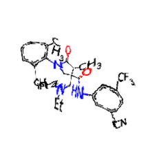 CCN(CC1(C(=O)Nc2cc(C#N)cc(C(F)(F)F)c2)CN(c2c(C)cccc2C)C(=O)C1C)C(C)C